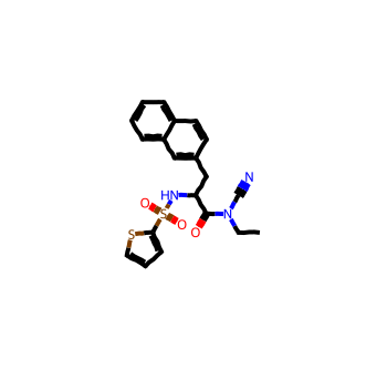 CCN(C#N)C(=O)C(Cc1ccc2ccccc2c1)NS(=O)(=O)c1cccs1